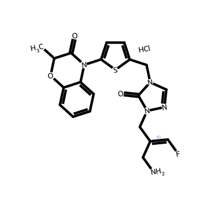 CC1Oc2ccccc2N(c2ccc(Cn3cnn(C/C(=C/F)CN)c3=O)s2)C1=O.Cl